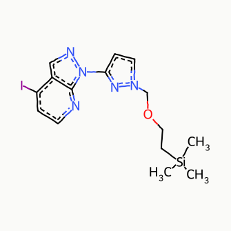 C[Si](C)(C)CCOCn1ccc(-n2ncc3c(I)ccnc32)n1